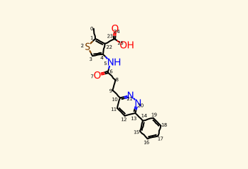 Cc1scc(NC(=O)CCc2ccc(-c3ccccc3)nn2)c1C(=O)O